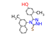 Cc1cc(-n2c(-c3ccc(O)cc3C)n[nH]c2=S)c2ccccc2c1